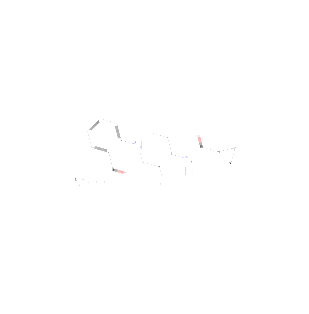 COC(=O)c1ccccc1N1CC(C)C(NC(=O)C2CC2)C(C)C1